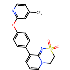 O=S1(=O)CCN2C=CC=C(c3ccc(Oc4cc(C(F)(F)F)ccn4)cc3)C2=N1